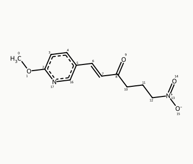 COc1ccc(C=CC(=O)CCC[N+](=O)[O-])cn1